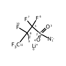 [Li+].[N-]S(=O)(=O)C(F)(F)C(F)(F)C(F)(F)F